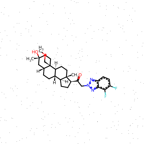 COC[C@]12CC[C@@](C)(O)C[C@H]1CC[C@H]1[C@@H]3CC[C@H](C(=O)Cn4nc5ccc(F)c(F)c5n4)[C@@]3(C)CC[C@@H]12